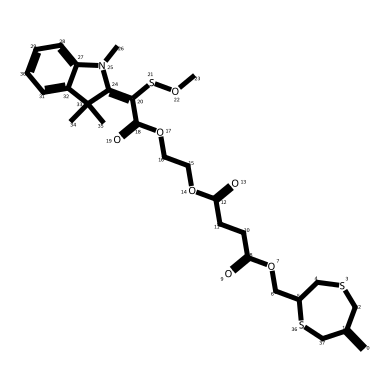 C=C1CSCC(COC(=O)CCC(=O)OCCOC(=O)/C(SOC)=C2/N(C)c3ccccc3C2(C)C)SC1